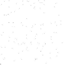 Cc1nc(N2CCN(C(=O)c3ccco3)CC2)nc2c1ccc(=O)n2-c1ccc(C(=O)NCc2ccc(F)cc2F)cc1